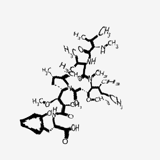 CC[C@H](C)[C@@H]([C@@H](CC(=O)N1C(C)[C@@H](C)C[C@H]1[C@H](OC)[C@@H](C)C(=O)N[C@@H](Cc1ccccc1Cl)C(=O)O)OC)N(C)C(=O)[C@@H](NC(=O)[C@@H](NC)C(C)C)C(C)C